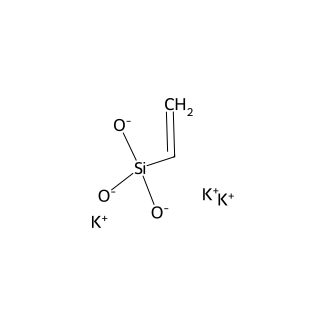 C=C[Si]([O-])([O-])[O-].[K+].[K+].[K+]